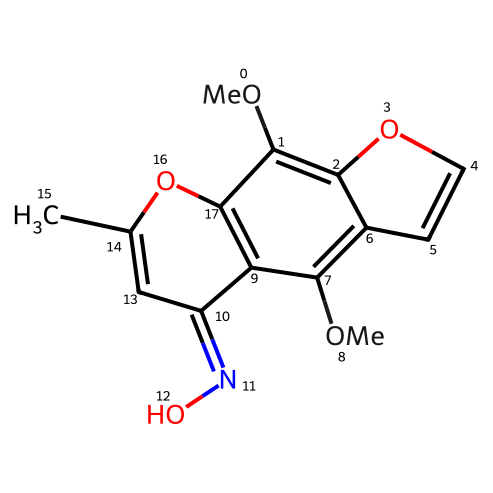 COc1c2occc2c(OC)c2/c(=N/O)cc(C)oc12